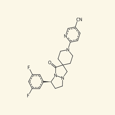 N#Cc1ccc(N2CCC3(CC2)CN2CC[C@@H](c4cc(F)cc(F)c4)N2C3=O)nc1